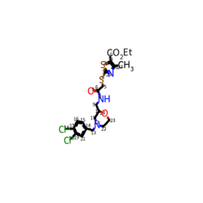 CCOC(=O)c1sc(SCC(=O)NCC2CN(Cc3ccc(Cl)c(Cl)c3)CCO2)nc1C